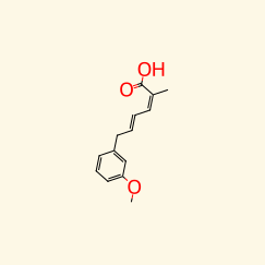 COc1cccc(CC=CC=C(C)C(=O)O)c1